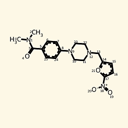 CN(C)C(=O)c1ccc(N2CCN(Cc3ccc([N+](=O)[O-])o3)CC2)cc1